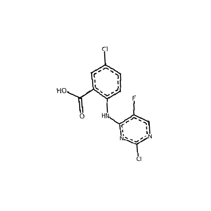 O=C(O)c1cc(Cl)ccc1Nc1nc(Cl)ncc1F